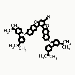 CC(C)c1ccc2c(c1)c1cc(C(C)C)ccc1n2-c1ccc2cc3c(cc2c1)oc1cc(C#N)c2oc4cc5cc(-n6c7ccc(C(C)C)cc7c7cc(C(C)C)ccc76)ccc5cc4c2c13